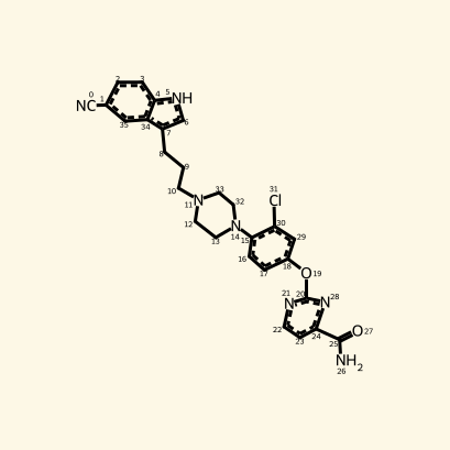 N#Cc1ccc2[nH]cc(CCCN3CCN(c4ccc(Oc5nccc(C(N)=O)n5)cc4Cl)CC3)c2c1